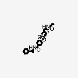 C=CC(=O)Nc1cc2c(s1)CN(S(=O)(=O)c1ccc(C(=O)N[C@@H]3CC3c3ccccc3)cc1)C2